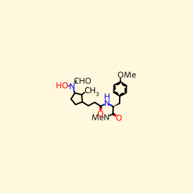 CNC(=O)[C@H](Cc1ccc(OC)cc1)NC(=O)CCC1CCC(N(O)C=O)C1C